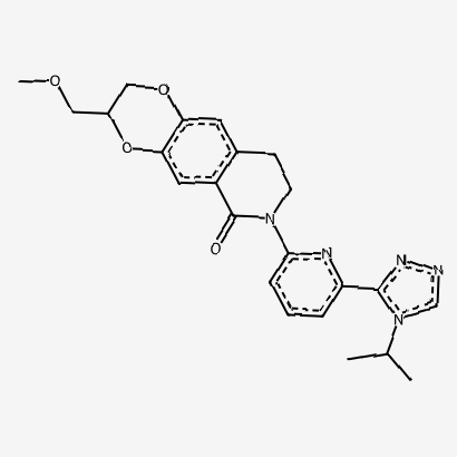 COCC1COc2cc3c(cc2O1)C(=O)N(c1cccc(-c2nncn2C(C)C)n1)CC3